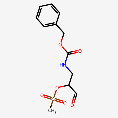 CS(=O)(=O)OC(C=O)CNC(=O)OCc1ccccc1